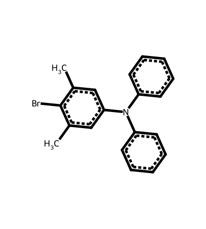 Cc1cc(N(c2ccccc2)c2ccccc2)cc(C)c1Br